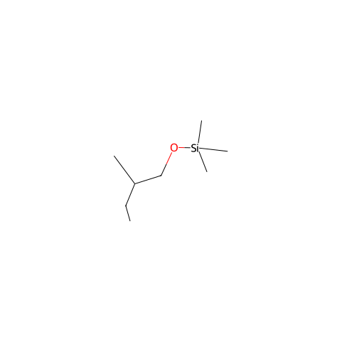 CCC(C)CO[Si](C)(C)C